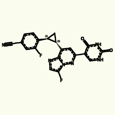 N#Cc1ccc([C@H]2C[C@@H]2c2cc(-c3c[nH]c(=O)[nH]c3=O)nn3c(F)cnc23)c(F)c1